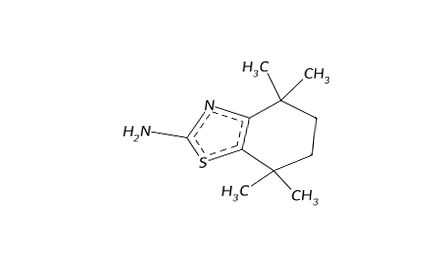 CC1(C)CCC(C)(C)c2sc(N)nc21